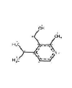 Cc1nccc(C(C)C)c1CO